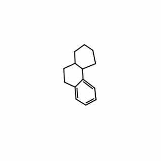 [CH]1CCCC2c3ccccc3CCC12